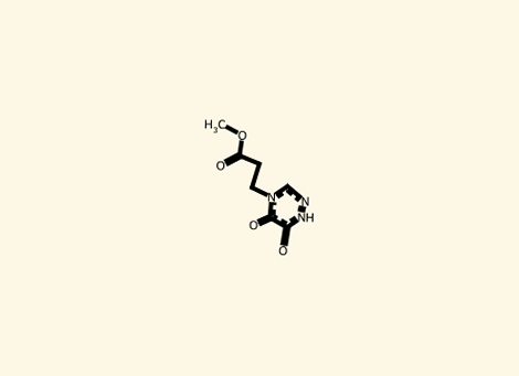 COC(=O)CCn1[c]n[nH]c(=O)c1=O